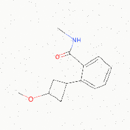 CNC(=O)c1ccccc1C1CC(OC)C1